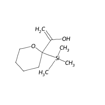 C=C(O)C1([Si](C)(C)C)CCCCO1